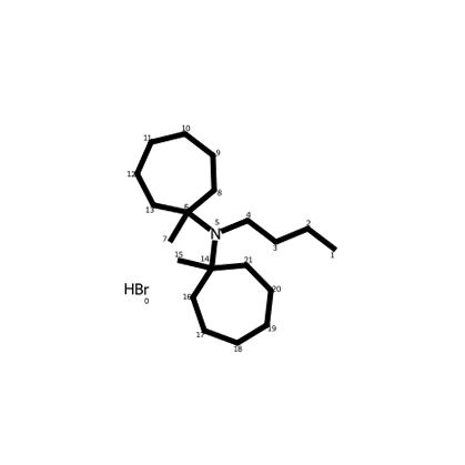 Br.CCCCN(C1(C)CCCCCC1)C1(C)CCCCCC1